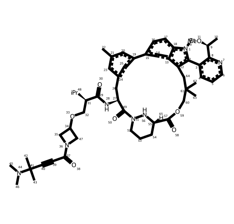 CCn1c(-c2cccnc2[C@H](C)OC)c2c3cc(ccc31)-c1cc(C)cc(c1)C[C@H](NC(=O)[C@@H](COC1CN(C(=O)C#CC(C)(C)N(C)C)C1)C(C)C)C(=O)N1CCC[C@H](N1)C(=O)OCC(C)(C)C2